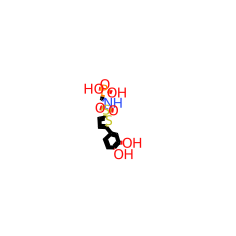 O=P(O)(O)CNS(=O)(=O)c1ccc(-c2ccc(O)c(O)c2)s1